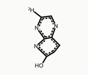 [2H]c1cnc2ccc(O)nc2n1